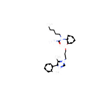 CCCCCN(C(N)=O)c1ccccc1OCCCn1cnc(-c2ccccc2C)c1C